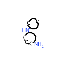 NC1CCCCCCC(NC2CCCCCCCCCC2)CCCC1